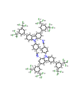 N#Cc1ccc(-n2c3ccc(-c4cc(C(F)(F)F)cc(C(F)(F)F)c4)cc3c3cc(-c4cc(C(F)(F)F)cc(C(F)(F)F)c4)ccc32)cc1-c1cc(-n2c3ccc(-c4cc(C(F)(F)F)cc(C(F)(F)F)c4)cc3c3cc(-c4cc(C(F)(F)F)cc(C(F)(F)F)c4)ccc32)ccc1C#N